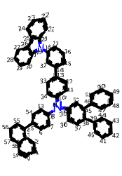 c1ccc2c(-c3ccc(N(c4ccc(-c5cccc(-n6c7ccccc7c7ccccc76)c5)cc4)c4ccc(-c5ccccc5)c(-c5ccccc5)c4)cc3)cccc2c#1